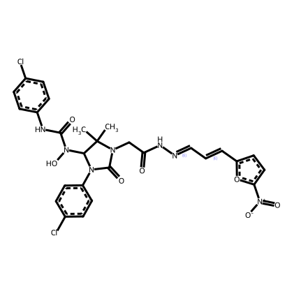 CC1(C)C(N(O)C(=O)Nc2ccc(Cl)cc2)N(c2ccc(Cl)cc2)C(=O)N1CC(=O)N/N=C/C=C/c1ccc([N+](=O)[O-])o1